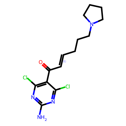 Nc1nc(Cl)c(C(=O)/C=C/CCCN2CCCC2)c(Cl)n1